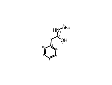 CCCCNC(O)Cc1ccccc1